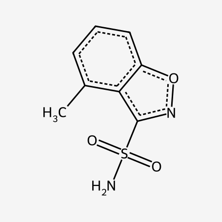 Cc1cccc2onc(S(N)(=O)=O)c12